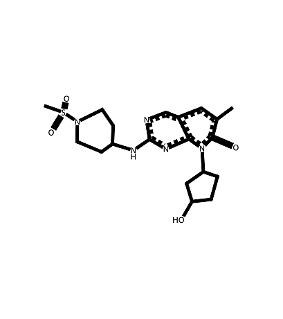 Cc1cc2cnc(NC3CCN(S(C)(=O)=O)CC3)nc2n(C2CCC(O)C2)c1=O